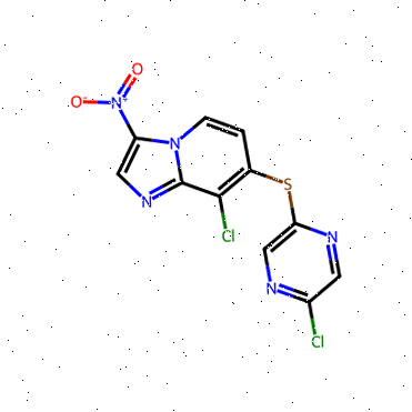 O=[N+]([O-])c1cnc2c(Cl)c(Sc3cnc(Cl)cn3)ccn12